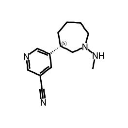 CNN1CCCC[C@@H](c2cncc(C#N)c2)C1